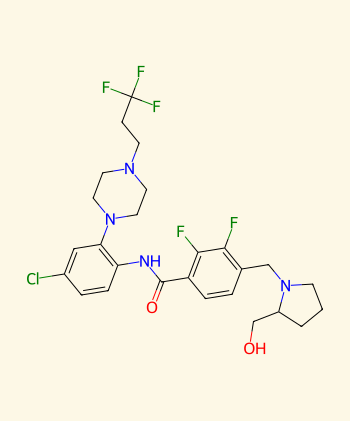 O=C(Nc1ccc(Cl)cc1N1CCN(CCC(F)(F)F)CC1)c1ccc(CN2CCCC2CO)c(F)c1F